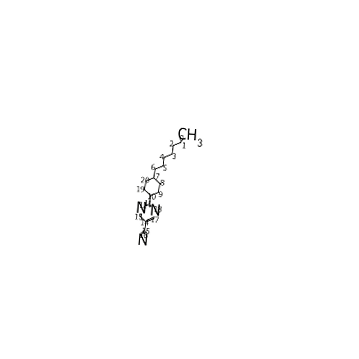 CCCCCCCC1CCC(c2ncc(C#N)cn2)CC1